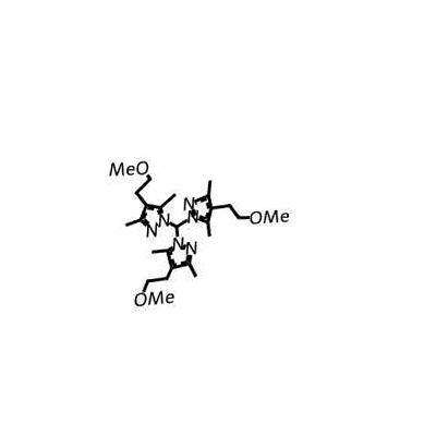 COCCc1c(C)nn(C(n2nc(C)c(CCOC)c2C)n2nc(C)c(CCOC)c2C)c1C